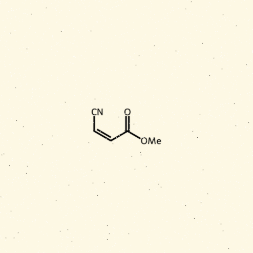 COC(=O)/C=C\C#N